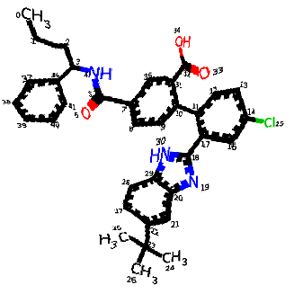 CCCC(NC(=O)c1ccc(-c2ccc(Cl)cc2-c2nc3cc(C(C)(C)C)ccc3[nH]2)c(C(=O)O)c1)c1ccccc1